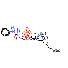 CCCCCCCCCCCCCCCCCCOCC(CNC(=O)Nc1ccccc1)OP(=O)([O-])OCC[N+](C)(C)C